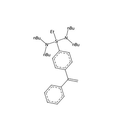 C=C(c1ccccc1)c1ccc([Si](CC)(N(CCCC)CCCC)N(CCCC)CCCC)cc1